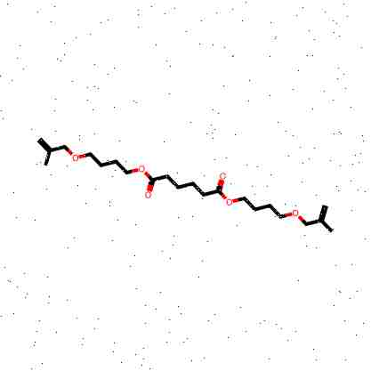 C=C(C)COCCCCOC(=O)CCCCC(=O)OCCCCOCC(=C)C